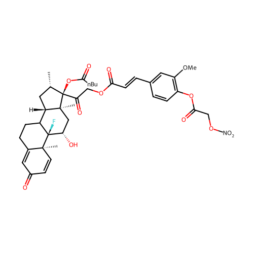 CCCCC(=O)O[C@]1(C(=O)COC(=O)/C=C/c2ccc(OC(=O)CO[N+](=O)[O-])c(OC)c2)[C@@H](C)C[C@H]2C3CCC4=CC(=O)C=C[C@]4(C)[C@@]3(F)[C@@H](O)C[C@@]21C